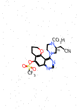 N#CC[C@H]1CN(c2ncnc3cc(OS(=O)(=O)C(F)(F)F)c4c(c23)OCCC4)CCN1C(=O)O